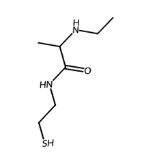 CCNC(C)C(=O)NCCS